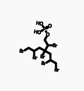 O=P(O)(O)OCC(Br)C(Br)(CC(Br)CBr)CC(Br)CBr